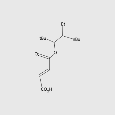 CCCCC(CC)C(OC(=O)C=CC(=O)O)C(C)(C)C